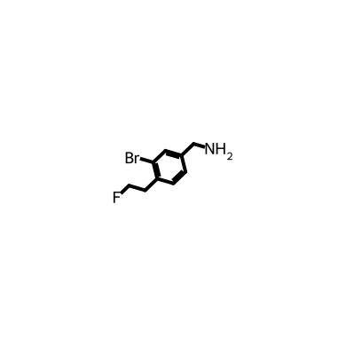 NCc1ccc(CCF)c(Br)c1